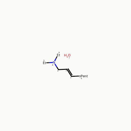 CCCCCC=CCN(CC)CC.O